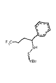 CC(C)(C)SNC(CCC(F)(F)F)c1ccccc1